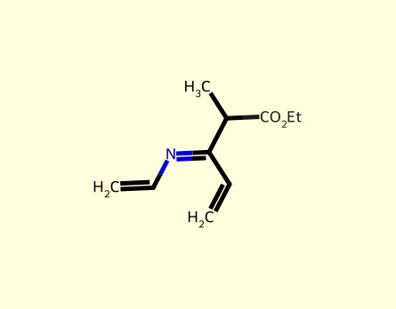 C=C/N=C(\C=C)C(C)C(=O)OCC